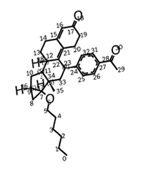 CCCCCCOC12C[C@@H]1C[C@H]1[C@@H]3CCC4=CC(=O)CCC4=C3[C@@H](c3ccc(C(C)=O)cc3)C[C@@]12C